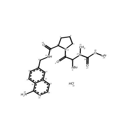 CCCCC(C(=O)N1CCCC1C(=O)NCc1ccc2c(N)nccc2c1)N(C)C(=O)OCCC.Cl